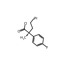 CC(C)CC[C@@](C)(C(=O)Cl)c1ccc(F)cc1